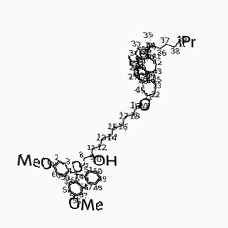 COc1ccc(C(OCCC(O)CCCCCCCCCOC2CC[C@@]3(C)C(=CC[C@H]4[C@@H]5CC[C@H]([C@H](C)CCCC(C)C)[C@@]5(C)CC[C@@H]43)C2)(c2ccccc2)c2ccc(OC)cc2)cc1